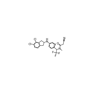 CN(C(=O)CC#N)C(c1ccc(NC2Cc3ccc(Cl)c(Cl)c3C2)cn1)C(F)(F)F